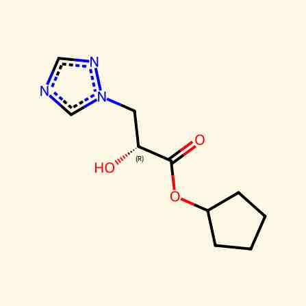 O=C(OC1CCCC1)[C@H](O)Cn1cncn1